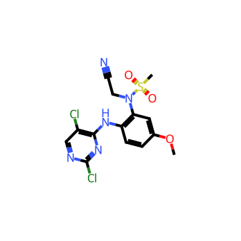 COc1ccc(Nc2nc(Cl)ncc2Cl)c(N(CC#N)S(C)(=O)=O)c1